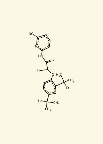 CCC(Oc1ccc(C(C)(C)CC)cc1C(C)(C)CC)C(=O)Nc1ccnc(C#N)n1